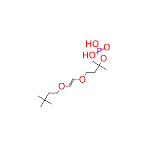 CC(C)(C)CCOC=COCCC(C)(C)OP(=O)(O)O